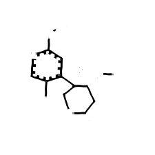 COc1cc([C@]2(N)CO[C@@H](C)C[C@H]2CO)c(F)cn1